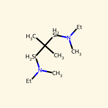 CCN(C)[SiH2]C(C)(C)[SiH2]N(C)CC